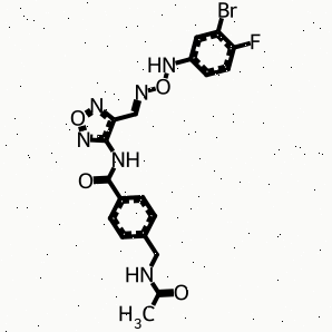 CC(=O)NCc1ccc(C(=O)Nc2nonc2/C=N/ONc2ccc(F)c(Br)c2)cc1